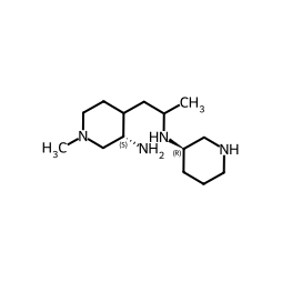 CC(CC1CCN(C)C[C@H]1N)N[C@@H]1CCCNC1